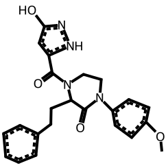 COc1ccc(N2CCN(C(=O)c3cc(O)n[nH]3)C(CCc3ccccc3)C2=O)cc1